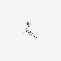 Cc1nc(COc2nc(C)n(-c3cc(-c4ccnc(C(C)(C)O)n4)ccc3Cl)c(=O)c2C)cs1